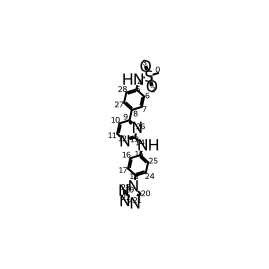 CS(=O)(=O)Nc1ccc(-c2ccnc(Nc3ccc(-n4cnnn4)cc3)n2)cc1